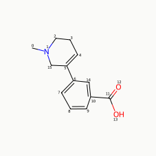 CN1CCC=C(c2cccc(C(=O)O)c2)C1